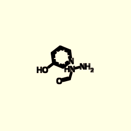 NNC=O.Oc1cccnc1